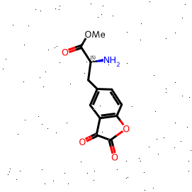 COC(=O)[C@@H](N)Cc1ccc2c(c1)C(=O)C(=O)O2